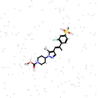 C/C(=C\c1cnn(C2CCN(C(=O)OC(C)C)CC2)c1C#N)c1ccc(S(C)(=O)=O)cc1F